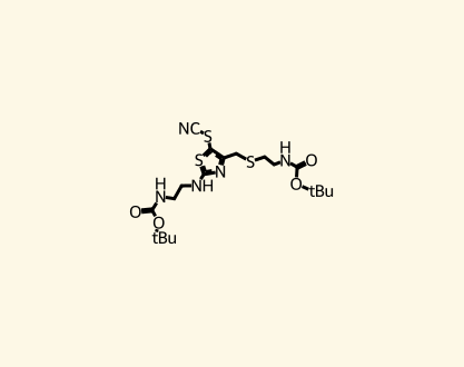 CC(C)(C)OC(=O)NCCNc1nc(CSCCNC(=O)OC(C)(C)C)c(SC#N)s1